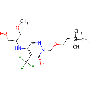 COCC(CO)Nc1cnn(COCC[Si](C)(C)C)c(=O)c1C(F)(F)F